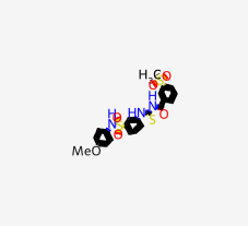 COc1ccc(NS(=O)(=O)c2cccc(NC(=S)NC(=O)c3cccc(S(C)(=O)=O)c3)c2)cc1